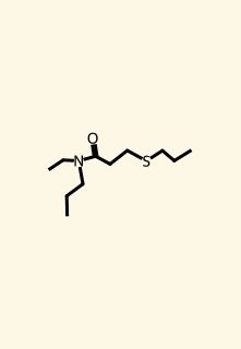 CCCSCCC(=O)N(CC)CCC